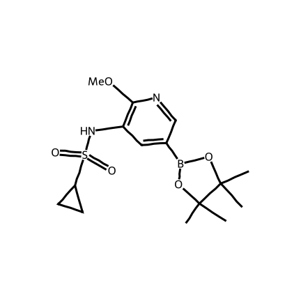 COc1ncc(B2OC(C)(C)C(C)(C)O2)cc1NS(=O)(=O)C1CC1